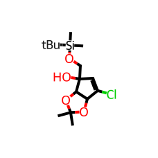 CC1(C)OC2C(Cl)=CC(O)(CO[Si](C)(C)C(C)(C)C)C2O1